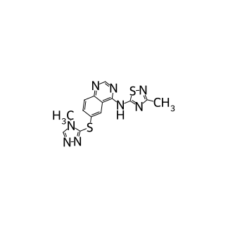 Cc1nsc(Nc2ncnc3ccc(Sc4nncn4C)cc23)n1